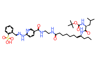 CCC/C(=C/CCCCCC(=O)NCCNC(=O)c1ccc(N/N=C/c2ccccc2S(=O)(=O)O)nc1)NC(=O)[C@H](CC(C)C)NC(=O)OC(C)(C)C